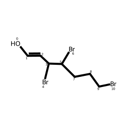 OC=CC(Br)C(Br)CCCBr